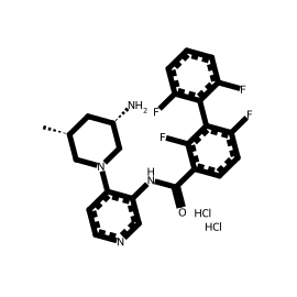 C[C@@H]1C[C@H](N)CN(c2ccncc2NC(=O)c2ccc(F)c(-c3c(F)cccc3F)c2F)C1.Cl.Cl